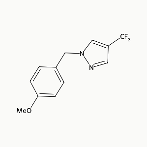 COc1ccc(Cn2cc(C(F)(F)F)cn2)cc1